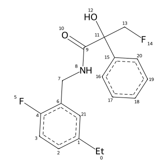 CCc1ccc(F)c(CNC(=O)C(O)(CF)c2ccccc2)c1